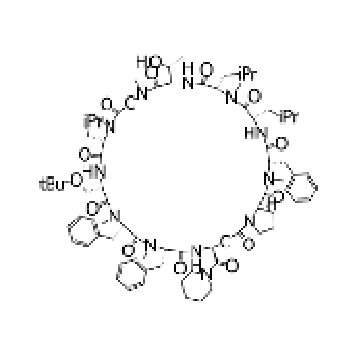 CC(C)C[C@@H]1NC(=O)[C@H](Cc2ccccc2)N(C)C(=O)[C@H]2CCCN2C(=O)C[C@@H](C(=O)N2CCCCC2)NC(=O)[C@H](Cc2ccccc2)N(C)C(=O)[C@H](Cc2ccccc2)N(C)C(=O)[C@H](COC(C)(C)C)NC(=O)[C@H](CC(C)C)N(C)C(=O)CN(C)C(=O)[C@H]([C@@H](C)O)NC(=O)[C@H](CC(C)C)N(C)C1=O